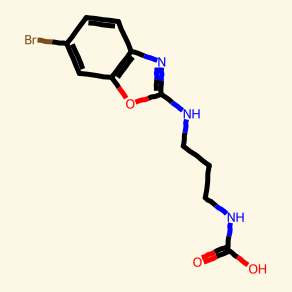 O=C(O)NCCCNc1nc2ccc(Br)cc2o1